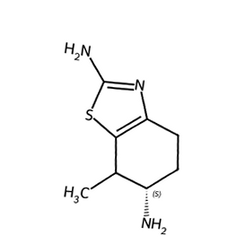 CC1c2sc(N)nc2CC[C@@H]1N